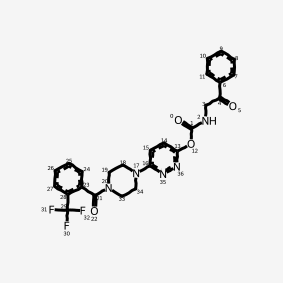 O=C(NCC(=O)c1ccccc1)Oc1ccc(N2CCN(C(=O)c3ccccc3C(F)(F)F)CC2)nn1